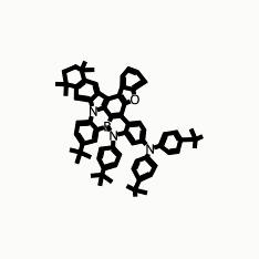 CC(C)(C)c1ccc(N2B3c4cc(C(C)(C)C)ccc4-n4c5cc6c(cc5c5c7c(oc8ccccc87)c(c3c54)-c3ccc(N(c4ccc(C(C)(C)C)cc4)c4ccc(C(C)(C)C)cc4)cc32)C(C)(C)CCC6(C)C)cc1